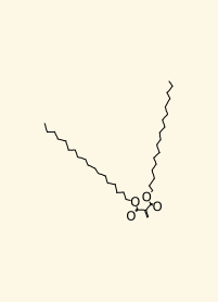 C=C(C(=O)OCCCCCCCCCCCCCCCCCC)C(=O)OCCCCCCCCCCCCCCCCCC